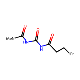 CNC(=O)NC(=O)NC(=O)CCC(C)C